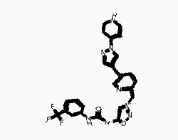 O=C([N-]c1c[n+](Cc2ccc(-c3cnn(C4CCNCC4)c3)cn2)no1)Nc1cccc(C(F)(F)F)c1